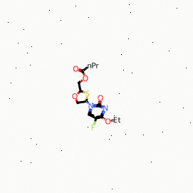 CCCC(=O)OCC1OCC(n2cc(F)c(OCC)nc2=O)S1